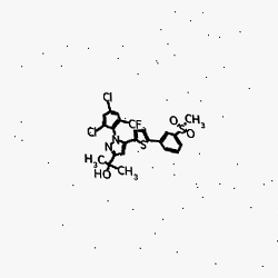 CC(C)(O)c1cc(-c2ccc(-c3cccc(S(C)(=O)=O)c3)s2)n(-c2c(Cl)cc(Cl)cc2C(F)(F)F)n1